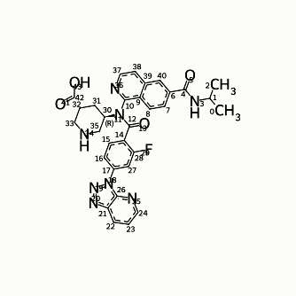 CC(C)NC(=O)c1ccc2c(N(C(=O)c3ccc(-n4nnc5cccnc54)cc3F)[C@@H]3CCCNC3)nccc2c1.O=CO